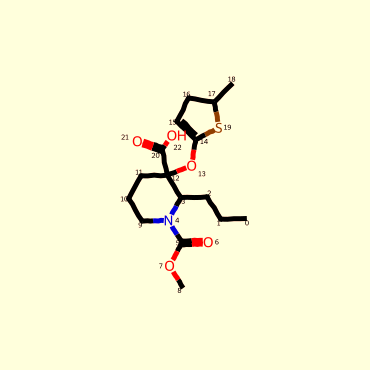 CCCC1N(C(=O)OC)CCCC1(OC1=CCC(C)S1)C(=O)O